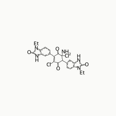 CCn1c(=O)[nH]c2cc(C3=C(Cl)C(=O)C(c4ccc5c(c4)[nH]c(=O)n5CC)C(N)(Cl)C3=O)ccc21